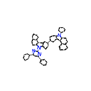 c1ccc(-c2cc(-c3ccccc3)nc(-n3c4ccc(-c5ccc6c(c5)c5c7ccccc7ccc5n6-c5ccccc5)cc4c4c5ccccc5ccc43)n2)cc1